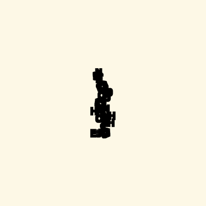 CCN1CCCC1CNC(=O)Nc1nc2cc(OS(=O)(=O)c3ccc(-n4ccnc4)cc3)ccc2[nH]1